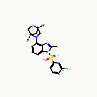 Cc1nc2c(N3C[C@@H]4C[C@H]3CN4)cccc2n1S(=O)(=O)c1cccc(F)c1